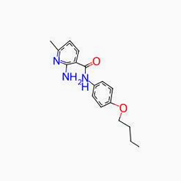 CCCCOc1ccc(NC(=O)c2ccc(C)nc2N)cc1